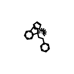 [CH3][Hf]([CH3])([CH3])([CH3])([CH3])([CH3])([CH3])([CH]1C=CC=C1)[C]1(CCc2ccccc2)C=Cc2ccccc21